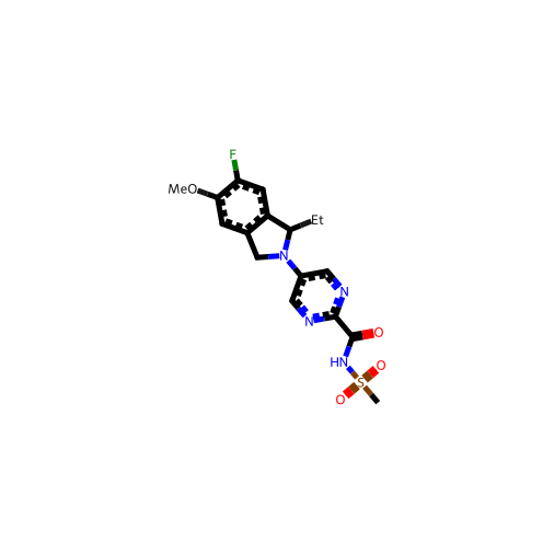 CCC1c2cc(F)c(OC)cc2CN1c1cnc(C(=O)NS(C)(=O)=O)nc1